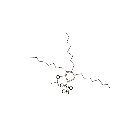 CCCCCCCCc1cc(S(=O)(=O)O)c(OC(C)C)c(CCCCCCCC)c1CCCCCCCC